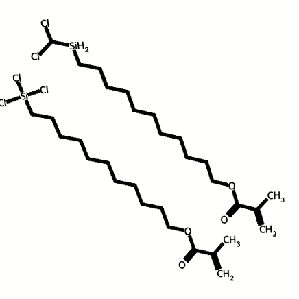 C=C(C)C(=O)OCCCCCCCCCCC[SiH2]C(Cl)Cl.C=C(C)C(=O)OCCCCCCCCCCC[Si](Cl)(Cl)Cl